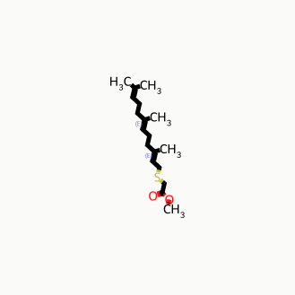 COC(=O)CSC/C=C(\C)CC/C=C(\C)CCC=C(C)C